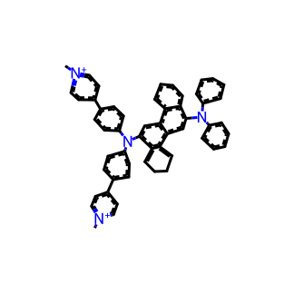 C[n+]1ccc(-c2ccc(N(c3ccc(-c4cc[n+](C)cc4)cc3)c3cc4c(cc(N(c5ccccc5)c5ccccc5)c5ccccc54)c4c3=CCCC=4)cc2)cc1